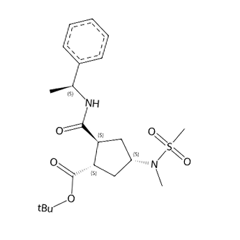 C[C@H](NC(=O)[C@H]1C[C@H](N(C)S(C)(=O)=O)C[C@@H]1C(=O)OC(C)(C)C)c1ccccc1